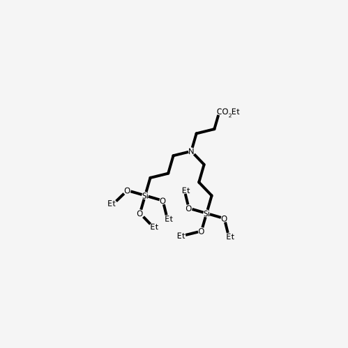 CCOC(=O)CCN(CCC[Si](OCC)(OCC)OCC)CCC[Si](OCC)(OCC)OCC